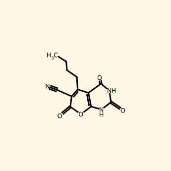 CCCCc1c(C#N)c(=O)oc2[nH]c(=O)[nH]c(=O)c12